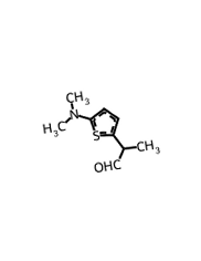 CC(C=O)c1ccc(N(C)C)s1